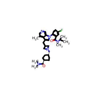 Cc1cncc2c1c(CC1CN(C[C@H]3CC[C@H](C(=O)N(C)C)CC3)C1)cn2-c1ccc(F)cc1C(=O)N(C)C(C)C